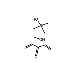 C=CC(=O)C=C.CO.C[Si](C)(C)O